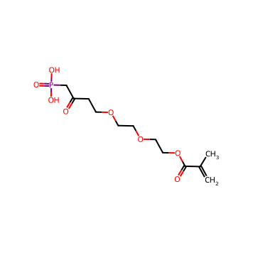 C=C(C)C(=O)OCCOCCOCCC(=O)CP(=O)(O)O